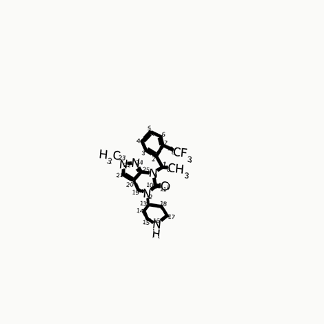 CC(c1ccccc1C(F)(F)F)N1C(=O)N(C2CCNCC2)Cc2cn(C)nc21